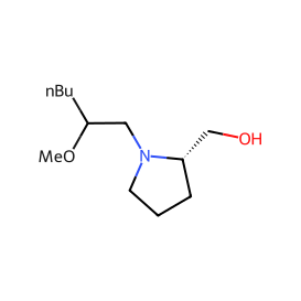 CCCCC(CN1CCC[C@H]1CO)OC